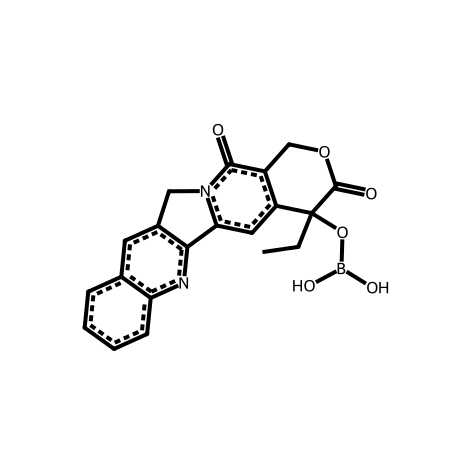 CCC1(OB(O)O)C(=O)OCc2c1cc1n(c2=O)Cc2cc3ccccc3nc2-1